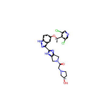 C[C@@H](Oc1ccc2[nH]nc(-c3nc4c([nH]3)CN(C(=O)CN3CC[C@@H](O)C3)C4)c2c1)c1c(Cl)cncc1Cl